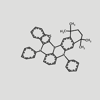 CC1(C)CCC(C)(C)c2cc3c(cc21)B1c2sc4ccccc4c2N(c2ccccc2)c2cccc(c21)N3c1ccccc1